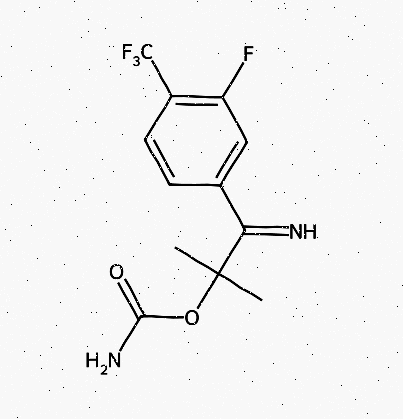 CC(C)(OC(N)=O)C(=N)c1ccc(C(F)(F)F)c(F)c1